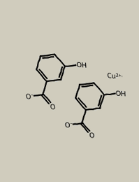 O=C([O-])c1cccc(O)c1.O=C([O-])c1cccc(O)c1.[Cu+2]